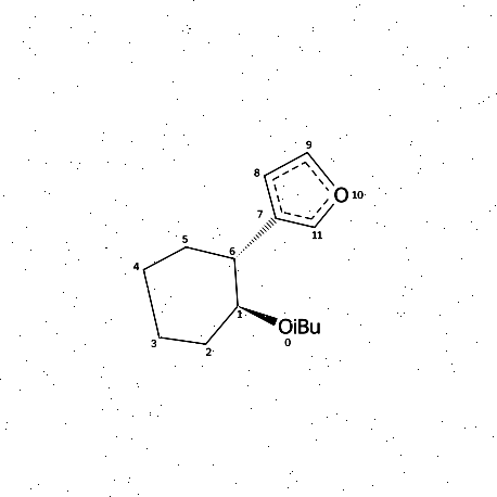 CC(C)CO[C@H]1CCCC[C@@H]1c1ccoc1